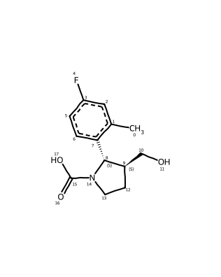 Cc1cc(F)ccc1[C@@H]1[C@@H](CO)CCN1C(=O)O